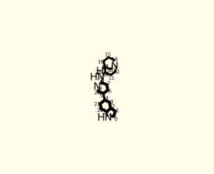 c1cc2cc(-c3ccc(N[C@H]4CCN5CCC[C@@H]4C5)nc3)ccc2[nH]1